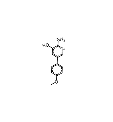 COc1ccc(-c2cnc(N)c(O)c2)cc1